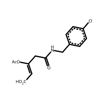 CC(=O)OC(=CC(=O)O)CC(=O)NCc1ccc(Cl)cc1